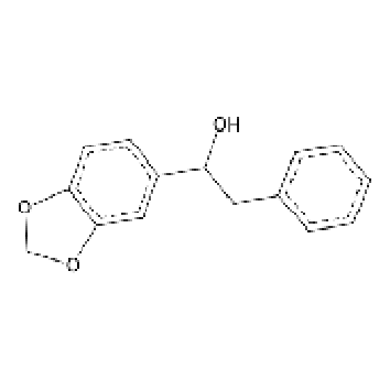 OC(Cc1ccccc1)c1ccc2c(c1)OCO2